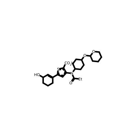 CCC(=O)N(c1cc(C2=CC(O)CCC2)sc1C(=O)O)C1CCC(OC2CCCCO2)CC1